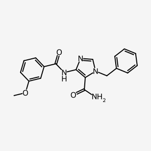 COc1cccc(C(=O)Nc2ncn(Cc3ccccc3)c2C(N)=O)c1